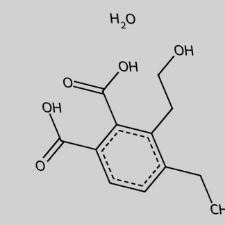 CCc1ccc(C(=O)O)c(C(=O)O)c1CCO.O